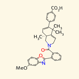 COc1ccc2oc(-c3ccccc3C(=O)N3CC=C4C(C)(C)C(c5ccc(C(=O)O)cc5)=CC[C@]4(C)C3)nc2c1